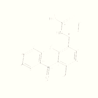 CC[C@@H](NC(=O)O)c1ccc(C)c(C(=O)c2ccccc2)c1F